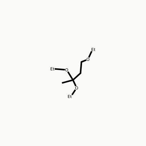 CCOCCC(C)(OCC)OCC